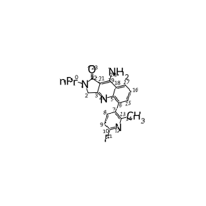 CCCN1Cc2nc3c(-c4ccc(F)nc4C)cccc3c(N)c2C1=O